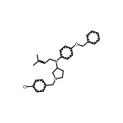 CC(C)=CCN(c1ccc(OCc2ccccc2)cc1)C1CCN(Cc2ccc(Cl)cc2)C1